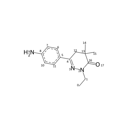 CCN1N=C(c2ccc(N)cc2)CC(C)(C)C1=O